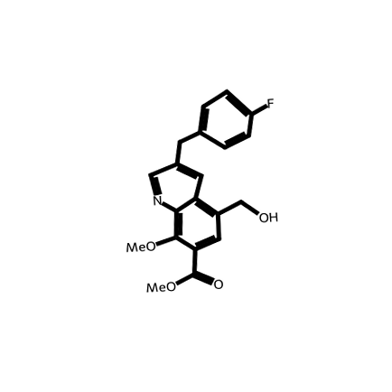 COC(=O)c1cc(CO)c2cc(Cc3ccc(F)cc3)cnc2c1OC